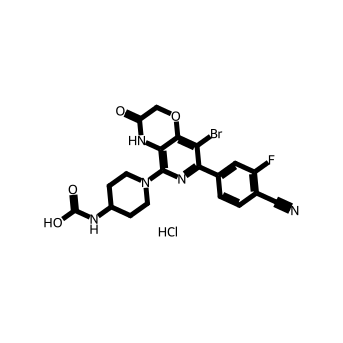 Cl.N#Cc1ccc(-c2nc(N3CCC(NC(=O)O)CC3)c3c(c2Br)OCC(=O)N3)cc1F